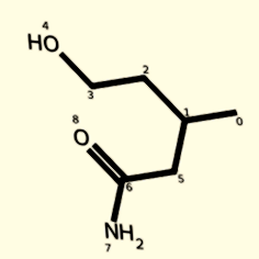 CC(CCO)CC(N)=O